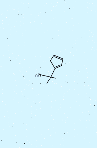 CCCC(C)(C)C1=CC=CC1